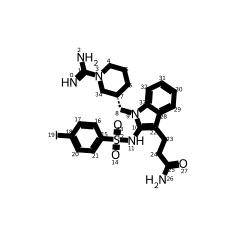 N=C(N)N1CCC[C@H](Cn2c(NS(=O)(=O)c3ccc(I)cc3)c(CCC(N)=O)c3ccccc32)C1